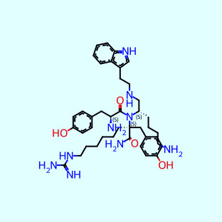 N=C(N)NCCCCCC[C@](Cc1ccc(O)cc1)(C(N)=O)N(C(=O)[C@@H](N)Cc1ccc(O)cc1)[C@@H](CCCCN)CNCCc1c[nH]c2ccccc12